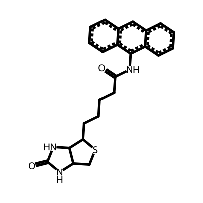 O=C(CCCCC1SCC2NC(=O)NC21)Nc1c2ccccc2cc2ccccc12